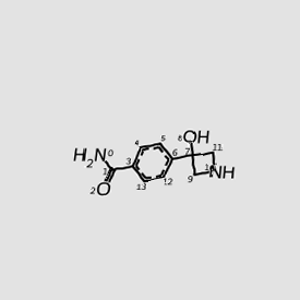 NC(=O)c1ccc(C2(O)CNC2)cc1